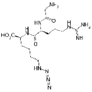 [N-]=[N+]=NNCCCC[C@H](NC(=O)[C@H](CCCNC(=N)N)NC(=O)CN)C(=O)O